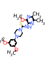 COc1cc(OC)cc(N2CCN(C(=S)Nc3nc(C)c(C)nc3OC)CC2)c1